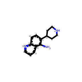 Nc1c(C2CCNCC2)ccc2ncccc12